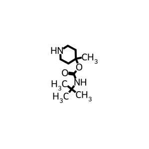 CC(C)(C)NC(=O)OC1(C)CCNCC1